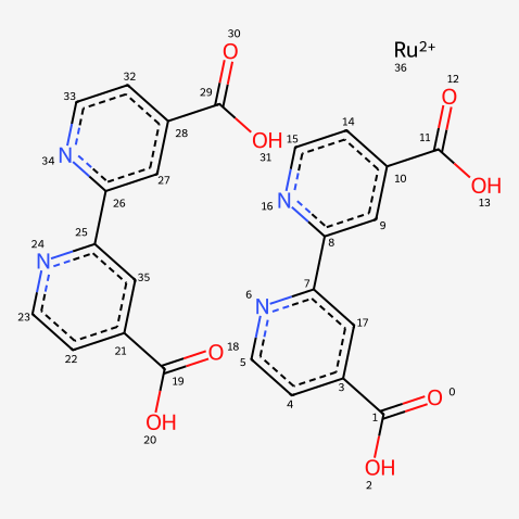 O=C(O)c1ccnc(-c2cc(C(=O)O)ccn2)c1.O=C(O)c1ccnc(-c2cc(C(=O)O)ccn2)c1.[Ru+2]